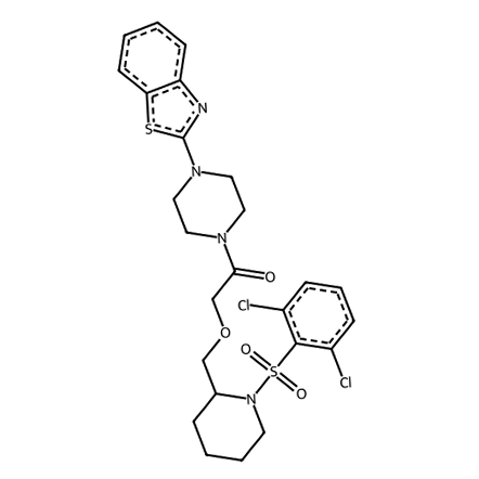 O=C(COCC1CCCCN1S(=O)(=O)c1c(Cl)cccc1Cl)N1CCN(c2nc3ccccc3s2)CC1